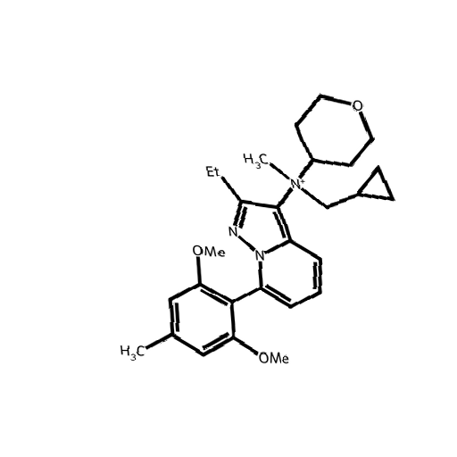 CCc1nn2c(-c3c(OC)cc(C)cc3OC)cccc2c1[N+](C)(CC1CC1)C1CCOCC1